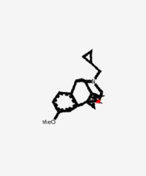 COc1ccc2c(c1)C13CCN(CC4CC4)C(C2)C1CCCNC3